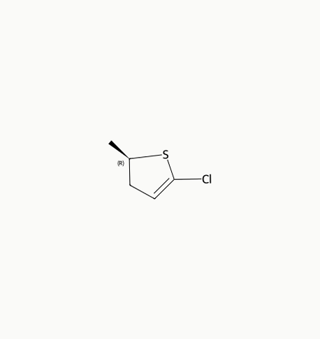 C[C@@H]1CC=C(Cl)S1